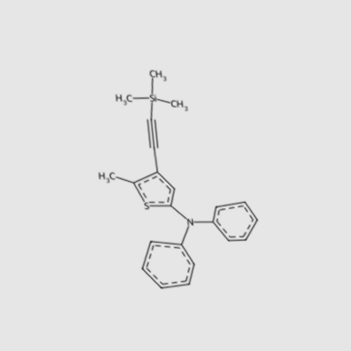 Cc1sc(N(c2ccccc2)c2ccccc2)cc1C#C[Si](C)(C)C